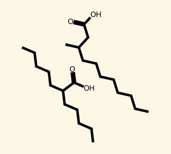 CCCCCC(CCCCC)C(=O)O.CCCCCCCCC(C)CC(=O)O